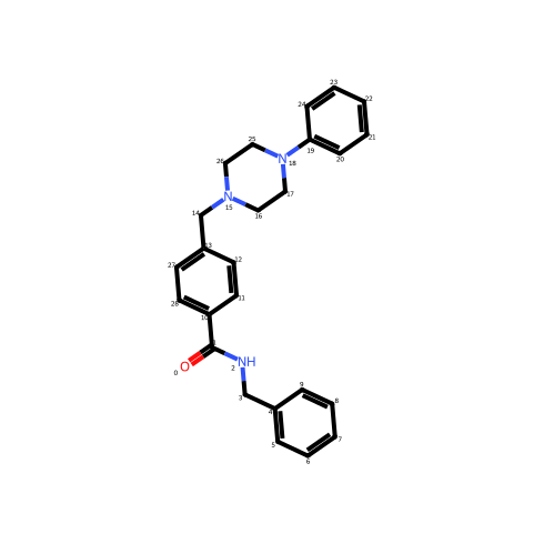 O=C(NCc1ccccc1)c1ccc(CN2CCN(c3ccccc3)CC2)cc1